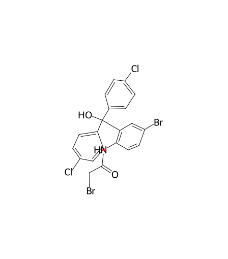 O=C(CBr)Nc1ccc(Br)cc1C(O)(c1ccc(Cl)cc1)c1ccc(Cl)cc1